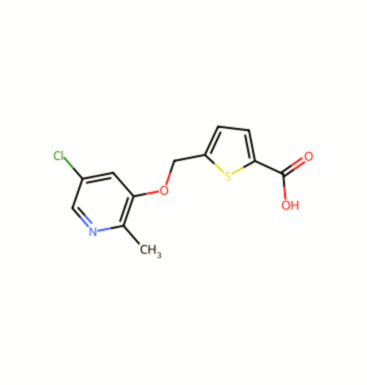 Cc1ncc(Cl)cc1OCc1ccc(C(=O)O)s1